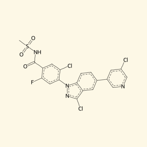 CS(=O)(=O)NC(=O)c1cc(Cl)c(-n2nc(Cl)c3cc(-c4cncc(Cl)c4)ccc32)cc1F